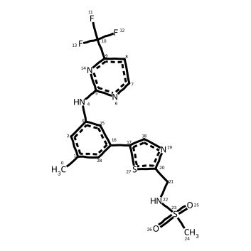 Cc1cc(Nc2nccc(C(F)(F)F)n2)cc(-c2cnc(CNS(C)(=O)=O)s2)c1